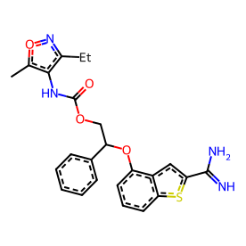 CCc1noc(C)c1NC(=O)OCC(Oc1cccc2sc(C(=N)N)cc12)c1ccccc1